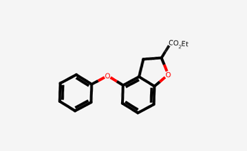 CCOC(=O)C1Cc2c(Oc3ccccc3)cccc2O1